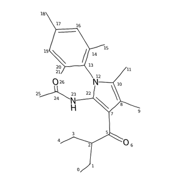 CCC(CC)C(=O)c1c(C)c(C)n(-c2c(C)cc(C)cc2C)c1NC(C)=O